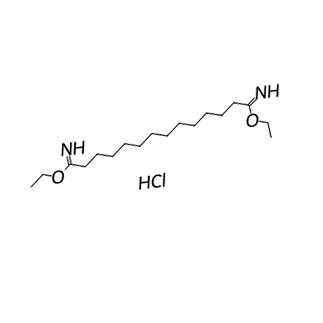 CCOC(=N)CCCCCCCCCCCCC(=N)OCC.Cl